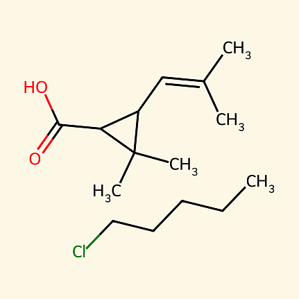 CC(C)=CC1C(C(=O)O)C1(C)C.CCCCCCl